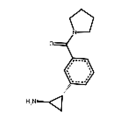 N[C@@H]1C[C@H]1c1cccc(C(=O)N2CCCC2)c1